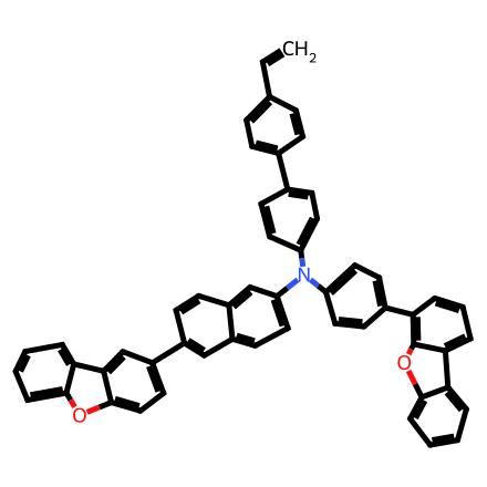 C=Cc1ccc(-c2ccc(N(c3ccc(-c4cccc5c4oc4ccccc45)cc3)c3ccc4cc(-c5ccc6oc7ccccc7c6c5)ccc4c3)cc2)cc1